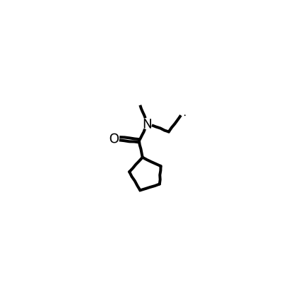 [CH2]CN(C)C(=O)C1CCCC1